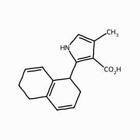 Cc1c[nH]c(C2CC=CC3=C2C=CCC3)c1C(=O)O